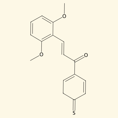 COc1cccc(OC)c1C=CC(=O)C1=CCC(=S)C=C1